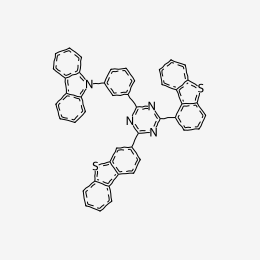 c1cc(-c2nc(-c3ccc4c(c3)sc3ccccc34)nc(-c3cccc4sc5ccccc5c34)n2)cc(-n2c3ccccc3c3ccccc32)c1